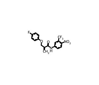 C=C(COc1ccc(F)cc1)C(=O)Nc1ccc([N+](=O)[O-])c(C(F)(F)F)c1